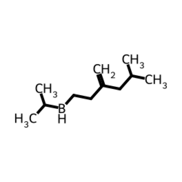 C=C(CCBC(C)C)CC(C)C